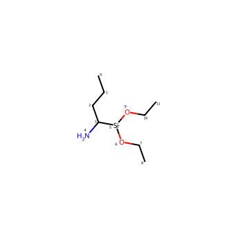 CCCC(N)[Si](OCC)OCC